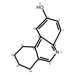 Oc1ccc2ncc3c(c2c1)CCCC3